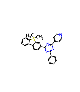 CS1(C)c2ccccc2-c2ccc(-c3nc(-c4ccccc4)nc(-c4ccncc4)n3)cc21